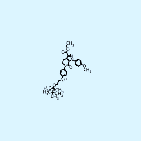 CCOC(=O)c1nn(-c2ccc(OC)cc2)c2c1CCN(c1ccc(NCCO[Si](C)(C)C(C)(C)C)cc1)C2=O